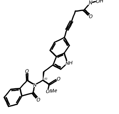 COC(=O)[C@H](Cc1c[nH]c2cc(C#CCC(=O)NO)ccc12)N1C(=O)c2ccccc2C1=O